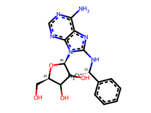 C[C@H](Nc1nc2c(N)ncnc2n1[C@@H]1O[C@H](CO)C(O)C1O)c1ccccc1